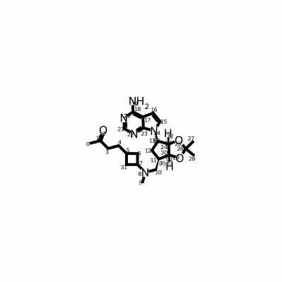 CC(=O)CCC1CC(N(C)C[C@H]2C[C@@H](n3ccc4c(N)ncnc43)[C@@H]3OC(C)(C)O[C@H]23)C1